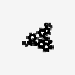 Cn1ccc2c(Nc3nc(N[C@@H]4CCCCC4N)cc4cn[nH]c(=O)c34)cccc21